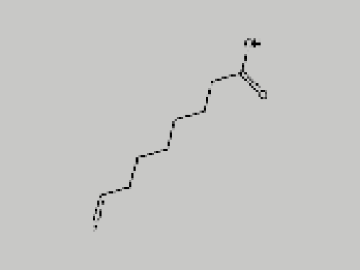 O=C(O)CCCCCCC=S